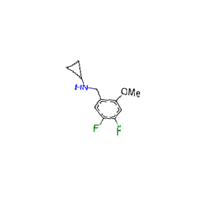 COc1cc(F)c(F)cc1CNC1CC1